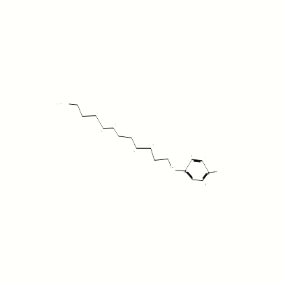 CCCCCCCCCCCCCCCCCCCCCOc1ccc(C=O)cc1